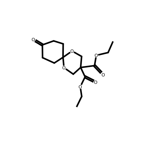 CCOC(=O)C1(C(=O)OCC)COC2(CCC(=O)CC2)OC1